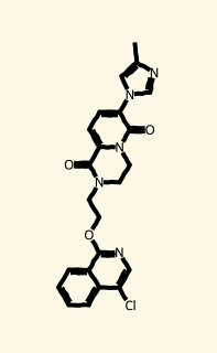 Cc1cn(-c2ccc3n(c2=O)CCN(CCOc2ncc(Cl)c4ccccc24)C3=O)cn1